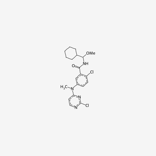 COC(NC(=O)c1cc(N(C)c2ccnc(Cl)n2)ccc1Cl)C1CCCCC1